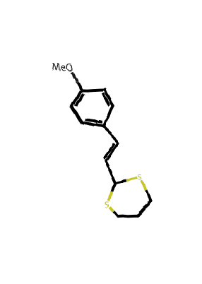 COc1ccc(C=CC2SCCCS2)cc1